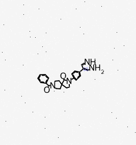 N=C/C(=C\N)c1ccc(N2CCC3(CCN(C(=O)c4ccccc4)CC3)C2=O)cc1